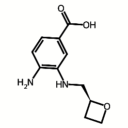 Nc1ccc(C(=O)O)cc1NC[C@@H]1CCO1